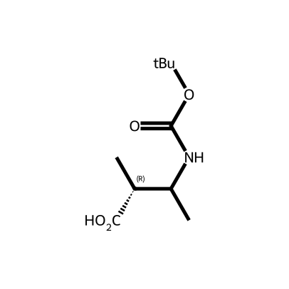 CC(NC(=O)OC(C)(C)C)[C@@H](C)C(=O)O